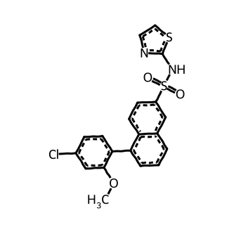 COc1cc(Cl)ccc1-c1cccc2cc(S(=O)(=O)Nc3nccs3)ccc12